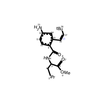 COC(=O)C(CC(C)C)NC(=O)c1ccc(N)cc1/C=C\C(C)(C)C